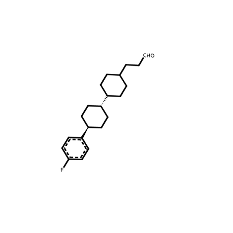 O=CCCC1CCC([C@H]2CC[C@H](c3ccc(F)cc3)CC2)CC1